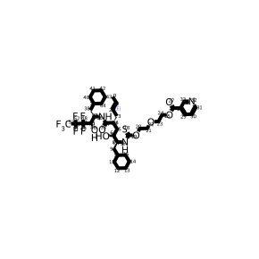 C/C=C/C[C@H](C[C@H](O)[C@H](CC1CCCCC1)NC(=S)OCCOCCOC(=O)c1cccnc1)C(=O)N[C@@H](CC1CCCCC1)[C@@H](O)C(F)(F)C(F)(F)C(F)(F)F